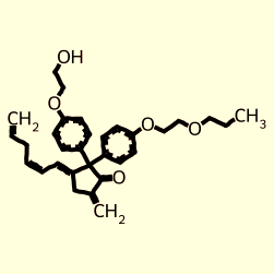 C=CC/C=C\C=C1/CC(=C)C(=O)C1(c1ccc(OCCO)cc1)c1ccc(OCCOCCC)cc1